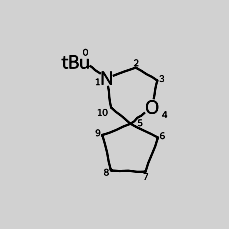 CC(C)(C)N1CCOC2(CCCC2)C1